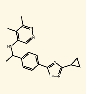 Cc1nncc(NC(C)c2ccc(-c3nc(C4CC4)no3)cc2)c1C